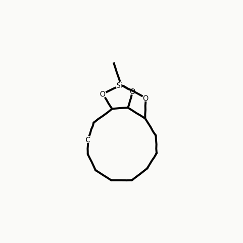 C[Si]12OC3CCCCCCCCCC(O1)C3O2